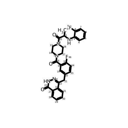 CC(Nc1ccccc1F)C(=O)N1CCN(C(=O)c2cc(Cc3n[nH]c(=O)c4ccccc34)ccc2F)CC1